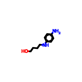 Nc1ccc(NCCCCO)cc1